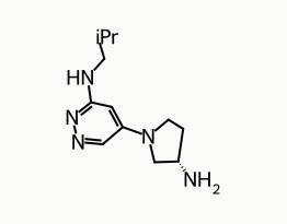 CC(C)CNc1cc(N2CC[C@H](N)C2)cnn1